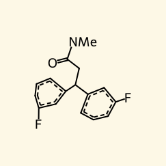 CNC(=O)CC(c1cccc(F)c1)c1cccc(F)c1